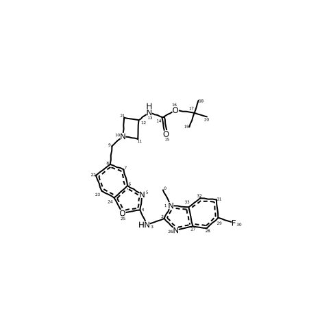 Cn1c(Nc2nc3cc(CN4CC(NC(=O)OC(C)(C)C)C4)ccc3o2)nc2cc(F)ccc21